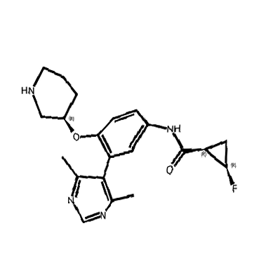 Cc1ncnc(C)c1-c1cc(NC(=O)[C@H]2C[C@H]2F)ccc1O[C@@H]1CCCNC1